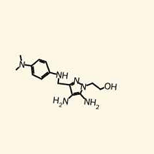 CN(C)c1ccc(NCc2nn(CCO)c(N)c2N)cc1